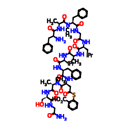 CC(C)C[C@H](NC(=O)CNC(=O)[C@H](Cc1ccccc1)N(C)C(=O)[C@H](C)NC(=O)[C@@H](N)Cc1ccccc1)C(=O)N[C@@H](C)C(=O)N[C@H](C(=O)N[C@@H](Cc1ccccc1)C(=O)N[C@@H](CC(=O)Sc1ccccc1C(=O)O)C(=O)N(C)[C@@H](C)C(=O)N[C@@H](CO)C(=O)NCC(N)=O)C(C)C